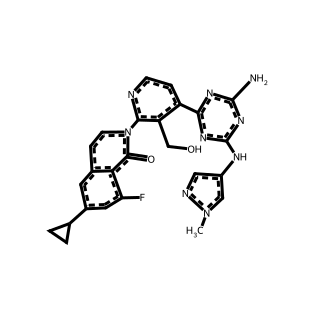 Cn1cc(Nc2nc(N)nc(-c3ccnc(-n4ccc5cc(C6CC6)cc(F)c5c4=O)c3CO)n2)cn1